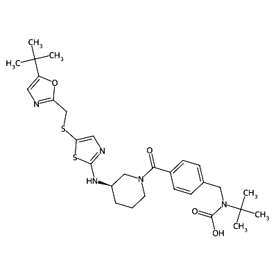 CC(C)(C)c1cnc(CSc2cnc(N[C@@H]3CCCN(C(=O)c4ccc(CN(C(=O)O)C(C)(C)C)cc4)C3)s2)o1